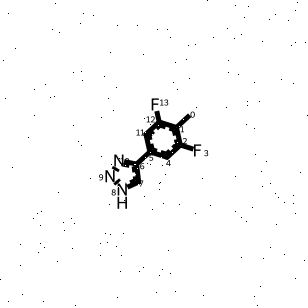 Cc1c(F)cc(-c2c[nH]nn2)cc1F